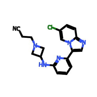 N#CCCN1CC(Nc2cccc(-c3cnc4ccc(Cl)cn34)n2)C1